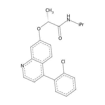 CC(C)NC(=O)[C@@H](C)Oc1ccc2c(-c3ccccc3Cl)ccnc2c1